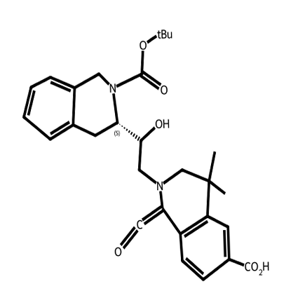 CC(C)(C)OC(=O)N1Cc2ccccc2C[C@H]1C(O)CN1CC(C)(C)c2cc(C(=O)O)ccc2C1=C=O